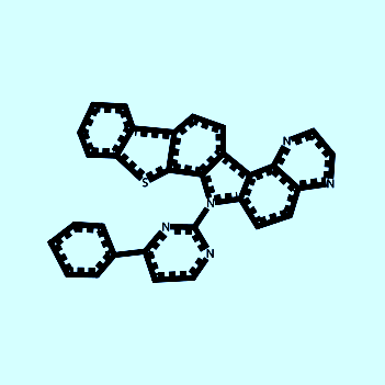 c1ccc(-c2ccnc(-n3c4ccc5nccnc5c4c4ccc5c6ccccc6sc5c43)n2)cc1